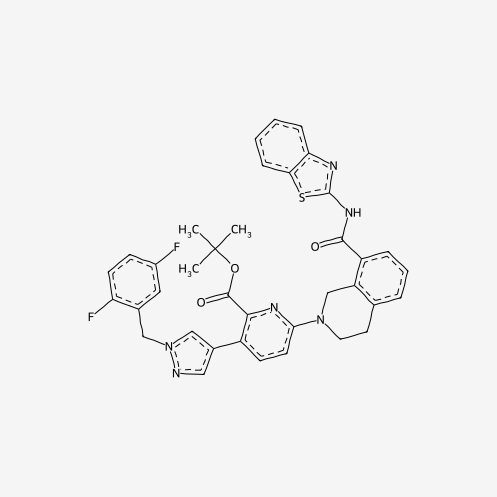 CC(C)(C)OC(=O)c1nc(N2CCc3cccc(C(=O)Nc4nc5ccccc5s4)c3C2)ccc1-c1cnn(Cc2cc(F)ccc2F)c1